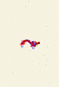 COc1cc(N2CCC(N3CCN(CN4CCN(c5ccc6c(c5)C(=O)N(C5CCC(=O)NC5=O)C6=O)CC4)CC3)CC2)c(-c2cnn(C)c2)cc1Nc1ncc(Cl)c(Nc2ccc(-c3ccccc3)cc2P(C)(C)=O)n1